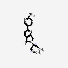 C/C=C(\C=N/C)N1Cc2nc(-c3cnc(N)nc3)ccc2C1=O